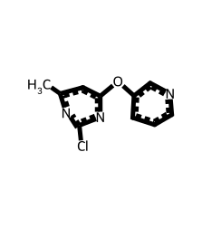 Cc1cc(Oc2cccnc2)nc(Cl)n1